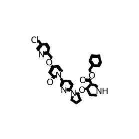 O=C(OCc1ccccc1)C1CNCCC1OC1CCCN1c1ccc(-n2ccc(OCc3ccc(Cl)cn3)cc2=O)cn1